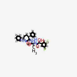 C[C@H](NC(=O)[C@H](O)c1cc(F)cc(F)c1)C(=O)N[C@@H]1C(=O)N[C@H](c2ccccc2)CC[C@H]1c1ccccc1